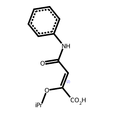 CC(C)O/C(=C\C(=O)Nc1ccccc1)C(=O)O